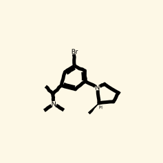 CC(c1cc(Br)cc(N2CCC[C@H]2C)c1)N(C)C